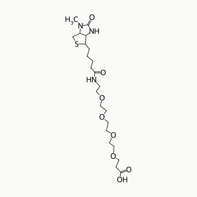 CN1C(=O)NC2C(CCCCC(=O)NCCOCCOCCOCCOCCC(=O)O)SCC21